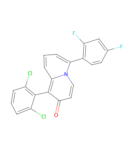 O=c1ccn2c(-c3ccc(F)cc3F)cccc2c1-c1c(Cl)cccc1Cl